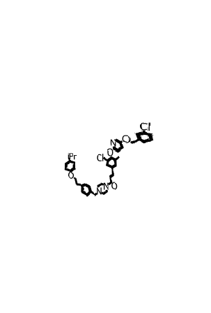 Cc1cc(C=CC(=O)N2CCN(Cc3ccc(CCOc4ccc(C(C)C)cc4)cc3)CC2)cc(Cl)c1Oc1ccc(OCc2cccc(Cl)c2)cn1